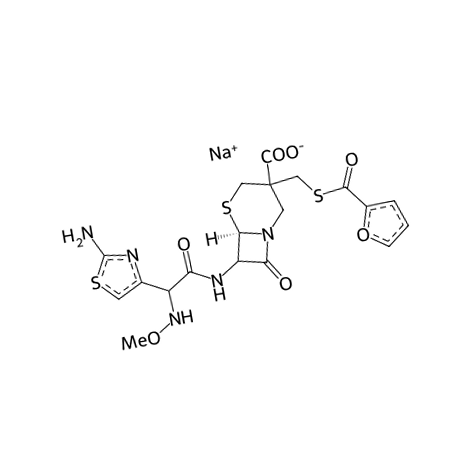 CONC(C(=O)NC1C(=O)N2CC(CSC(=O)c3ccco3)(C(=O)[O-])CS[C@H]12)c1csc(N)n1.[Na+]